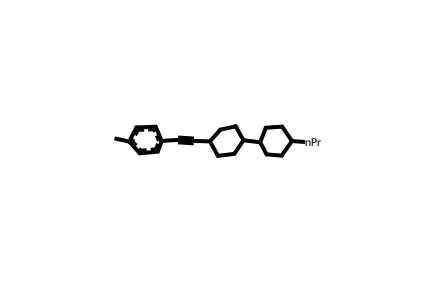 CCCC1CCC(C2CCC(C#Cc3ccc(C)cc3)CC2)CC1